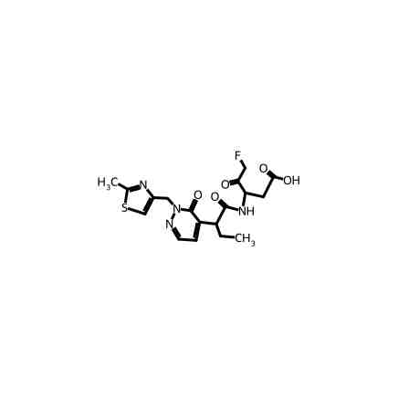 CCC(C(=O)NC(CC(=O)O)C(=O)CF)c1ccnn(Cc2csc(C)n2)c1=O